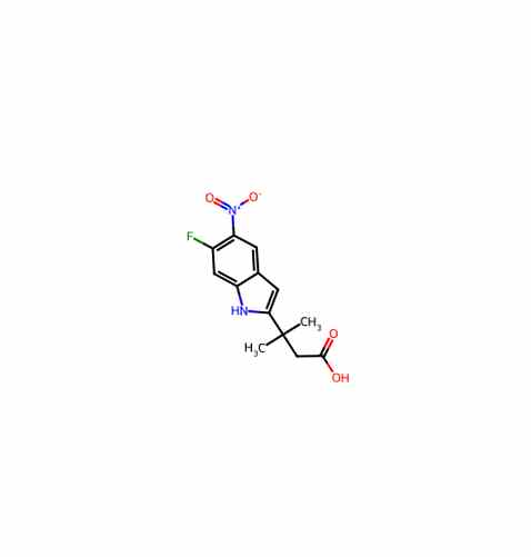 CC(C)(CC(=O)O)c1cc2cc([N+](=O)[O-])c(F)cc2[nH]1